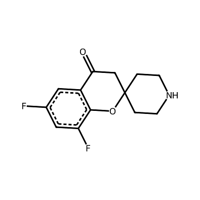 O=C1CC2(CCNCC2)Oc2c(F)cc(F)cc21